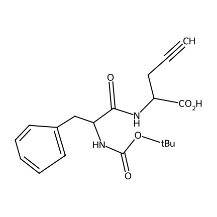 C#CCC(NC(=O)C(Cc1ccccc1)NC(=O)OC(C)(C)C)C(=O)O